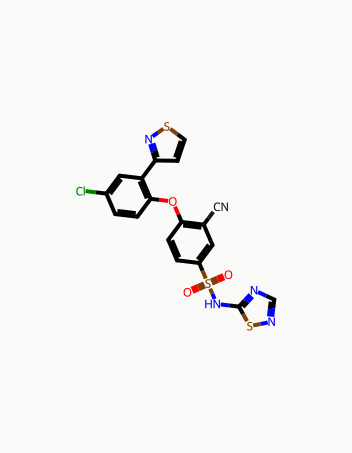 N#Cc1cc(S(=O)(=O)Nc2ncns2)ccc1Oc1ccc(Cl)cc1-c1ccsn1